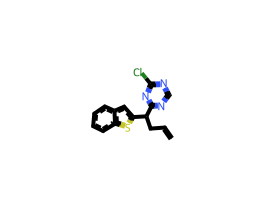 C=CCC(c1ncnc(Cl)n1)c1cc2ccccc2s1